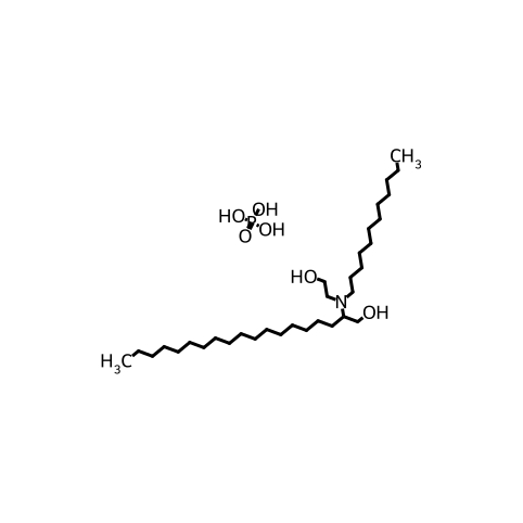 CCCCCCCCCCCCCCCCCC(CO)N(CCO)CCCCCCCCCCCC.O=P(O)(O)O